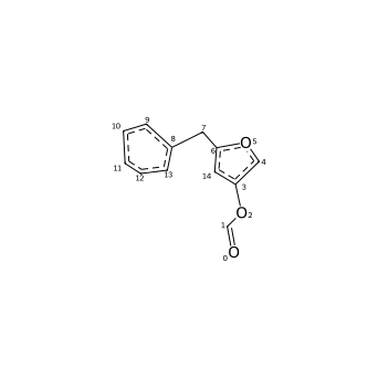 O=COc1coc(Cc2ccccc2)c1